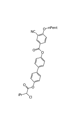 CCCCCOc1ccc(C(=O)Oc2ccc(-c3ccc(OC(=O)C(Cl)C(C)C)cc3)cc2)cc1C#N